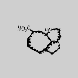 O=C(O)c1ccccc2c3c(cc[nH]c-3c1)CC2